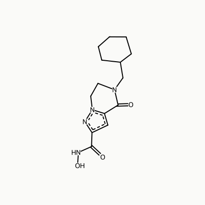 O=C(NO)c1cc2n(n1)CCN(CC1CCCCC1)C2=O